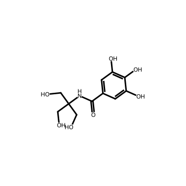 O=C(NC(CO)(CO)CO)c1cc(O)c(O)c(O)c1